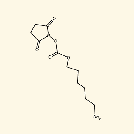 NCCCCCCOC(=O)ON1C(=O)CCC1=O